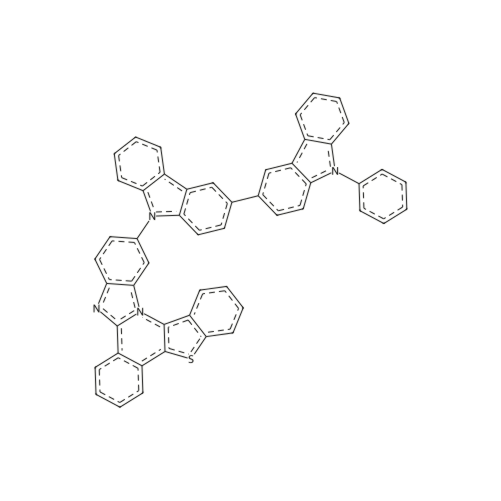 c1ccc(-n2c3ccccc3c3cc(-c4ccc5c(c4)c4ccccc4n5-c4ccc5nc6c7ccccc7c7sc8ccccc8c7n6c5c4)ccc32)cc1